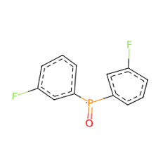 O=[P](c1cccc(F)c1)c1cccc(F)c1